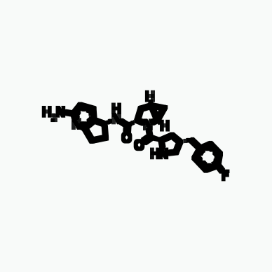 Nc1ccc2c(n1)CC[C@H]2NC(=O)[C@@H]1C[C@@H]2C[C@@H]2N1C(=O)[C@H]1C[C@H](Cc2ccc(F)cc2)CN1